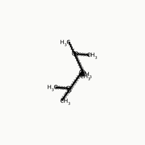 CCCCCCCCCCOC(CCCCCCCCCCCCC=CC(OC)OC(C=CCCCCCCCCCCCCC(OCCCCCCCCCC)OCCCCCCCCCC)OC)OCCCCCCCCCC